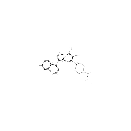 Cc1ccc2c(-c3cnn4c(N)c(Br)c(C5CCC(CC(=O)O)CC5)nc34)ccnc2c1